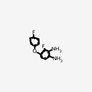 Nc1ccc(Oc2ccc(F)cc2)c(F)c1N